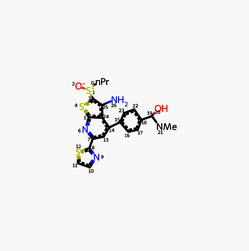 CCC[S+]([O-])c1sc2nc(-c3nccs3)cc(-c3ccc(C(O)NC)cc3)c2c1N